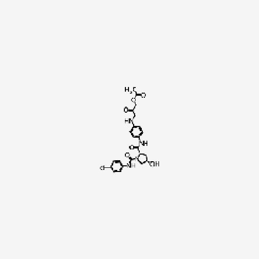 CC(=O)OCC(=O)CNc1ccc(NC(=O)[C@H]2C[C@@H](O)CN2C(=O)Nc2ccc(Cl)cc2)cc1